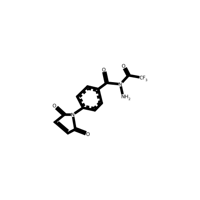 NN(C(=O)c1ccc(N2C(=O)C=CC2=O)cc1)C(=O)C(F)(F)F